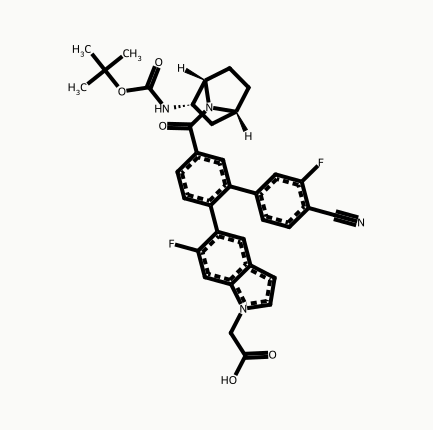 CC(C)(C)OC(=O)N[C@H]1C[C@H]2CC[C@@H]1N2C(=O)c1ccc(-c2cc3ccn(CC(=O)O)c3cc2F)c(-c2ccc(C#N)c(F)c2)c1